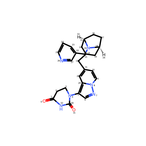 O=C1CCN(c2cnn3ccc(CC4C[C@H]5CC[C@@H](C4)N5Cc4cccnc4)cc23)C(=O)N1